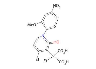 CCc1ccn(-c2ccc([N+](=O)[O-])cc2OC)c(=O)c1C(CC)(C(=O)O)C(=O)O